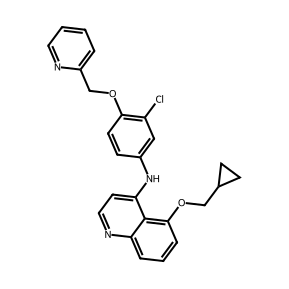 Clc1cc(Nc2ccnc3cccc(OCC4CC4)c23)ccc1OCc1ccccn1